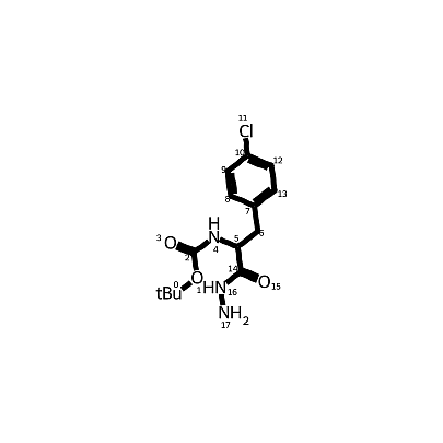 CC(C)(C)OC(=O)NC(Cc1ccc(Cl)cc1)C(=O)NN